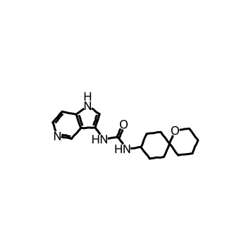 O=C(Nc1c[nH]c2ccncc12)NC1CCC2(CCCCO2)CC1